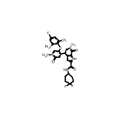 Cc1cc(F)cc(C)c1Oc1cn(C)c(=O)cc1-c1cn(C)c(=O)c2[nH]c(C(=O)NC3CCC(F)(F)CC3)cc12